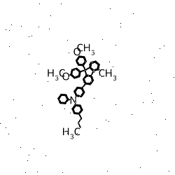 CCCCc1ccc(N(c2ccccc2)c2ccc(-c3ccc4c(c3)C(c3ccc(OC)cc3)(c3ccc(OC)cc3)c3cccc(C)c3-4)cc2)cc1